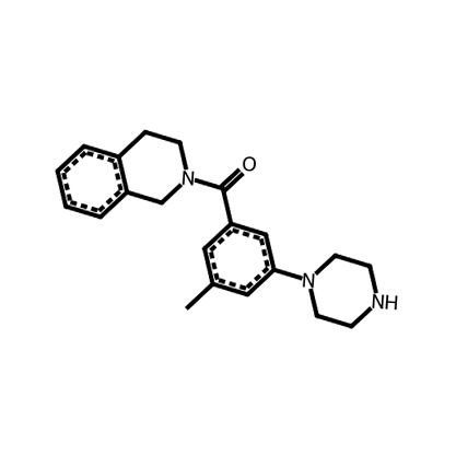 Cc1cc(C(=O)N2CCc3ccccc3C2)cc(N2CCNCC2)c1